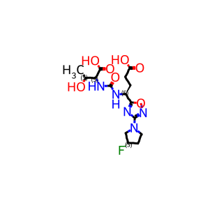 C[C@H](O)[C@H](NC(=O)N[C@@H](CCC(=O)O)c1nc(N2CC[C@H](F)C2)no1)C(=O)O